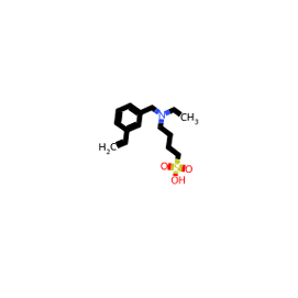 C=Cc1cccc(CN(CC)CCCCS(=O)(=O)O)c1